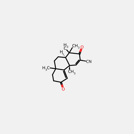 CC12CCC(=O)C=C1[C@@]1(C)C=C(C#N)C(=O)C(C)(C)[C@@H]1CC2